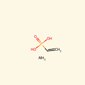 C=CP(=O)(O)O.[AlH3]